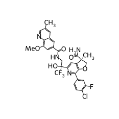 COc1cc(C(=O)NCC(O)(c2cc3c(c(-c4ccc(Cl)c(F)c4)n2)OC[C@]3(C)C(N)=O)C(F)(F)F)cc2cc(C)cnc12